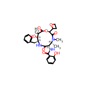 C[C@@H]1[C@H](NC(=O)c2ccccc2O)C(=O)N[C@@H](Cc2ccccc2)[C@@H](O)[C@@H](C)C(=O)OC(C2CCO2)C(=O)N1C